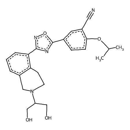 CC(C)Oc1ccc(-c2nc(-c3cccc4c3CCN(C(CO)CO)C4)no2)cc1C#N